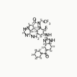 Nc1ncnn2cc(C(=O)NCC(F)(F)F)c(-c3ccc(Nc4nc5cc(C(=O)c6ccccc6)ccc5[nH]4)c(F)c3)c12